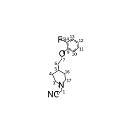 N#CCN1CCC(CCOc2ccccc2F)CC1